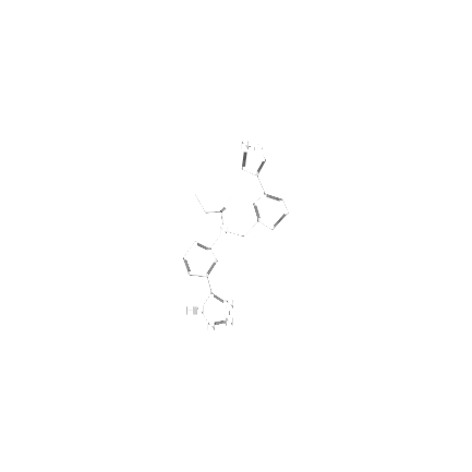 CCC(=O)N(Cc1cccc(-c2cnoc2)c1)c1cccc(-c2nnn[nH]2)c1